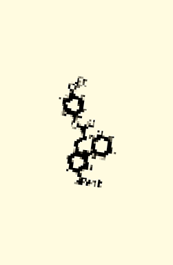 CCCC(C)c1ccc(CCC(=O)Oc2ccc(OCC)cc2)c(C2CCCCC2)c1